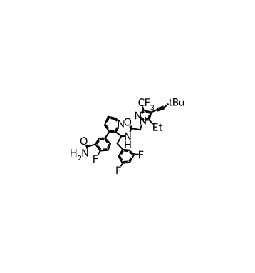 CCc1c(C#CC(C)(C)C)c(C(F)(F)F)nn1CC(=O)NC(Cc1cc(F)cc(F)c1)c1ncccc1-c1ccc(F)c(C(N)=O)c1